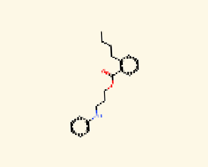 CCCCc1ccccc1C(=O)OCCCNc1ccccc1